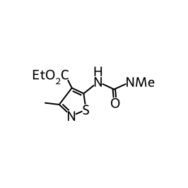 CCOC(=O)c1c(C)nsc1NC(=O)NC